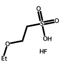 CCOCCS(=O)(=O)O.F